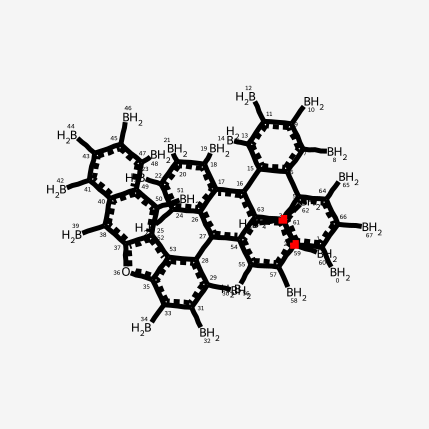 Bc1cc(B)c(-c2c(B)c(B)c(B)c(B)c2-c2c3c(B)c(B)c(B)c(B)c3c(-c3c(B)c(B)c(B)c4oc5c(B)c6c(B)c(B)c(B)c(B)c6c(B)c5c34)c3c(B)c(B)c(B)c(B)c23)c(B)c1B